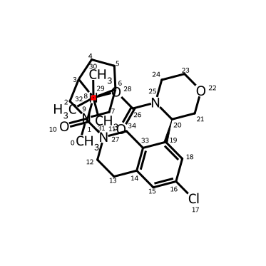 CN1CC2CCC(C1)N2C(=O)N1CCc2cc(Cl)cc([C@@H]3COCCN3C(=O)OC(C)(C)C)c2C1